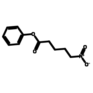 O=C(CCCC[N+](=O)[O-])Oc1ccccc1